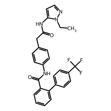 CCn1nccc1NC(=O)Cc1ccc(NC(=O)c2ccccc2-c2ccc(C(F)(F)F)cc2)cc1